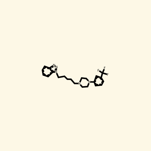 FC(F)(F)c1cccc(N2CCN(CCCCCn3nnc4ccccc43)CC2)c1